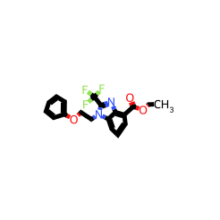 CCOC(=O)c1cccc2c1nc(C(F)(F)F)n2CCOc1ccccc1